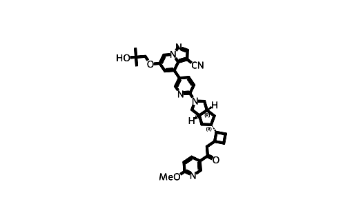 COc1ccc(C(=O)CC2CCC2[C@@H]2C[C@@H]3CN(c4ccc(-c5cc(OCC(C)(C)O)cn6ncc(C#N)c56)cn4)C[C@@H]3C2)cn1